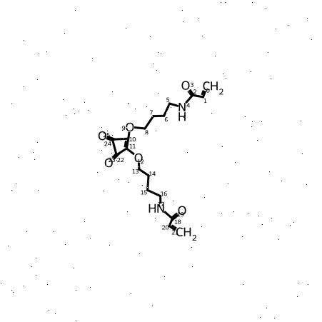 C=CC(=O)NCCCCOc1c(OCCCCNC(=O)C=C)c(=O)c1=O